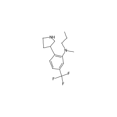 CCCN(C)c1cc(C(F)(F)F)ccc1C1CCNC1